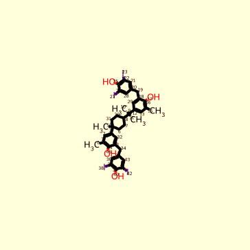 Cc1cc(C2(C)CCC(C(C)(C)c3cc(C)c(O)c(Cc4cc(I)c(O)c(I)c4)c3)CC2)cc(Cc2cc(I)c(O)c(I)c2)c1O